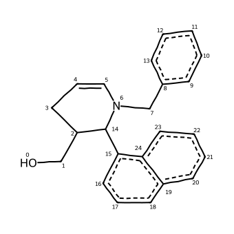 OCC1CC=CN(Cc2ccccc2)C1c1cccc2ccccc12